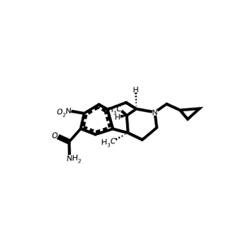 C[C@@H]1[C@H]2Cc3cc([N+](=O)[O-])c(C(N)=O)cc3[C@]1(C)CCN2CC1CC1